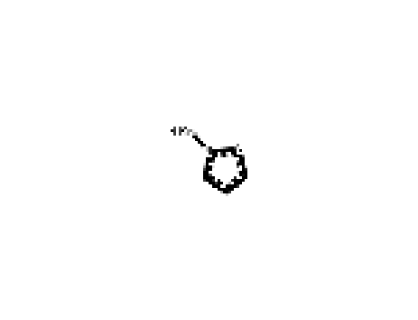 [SnH][n]1cccn1